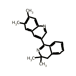 Cc1cc2cc(C3=NC(C)(C)Cc4ccccc43)cnc2cc1C